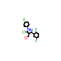 O=Cc1c(-c2cc(F)ccc2F)nn(-c2ccc(F)cc2)c1Cl